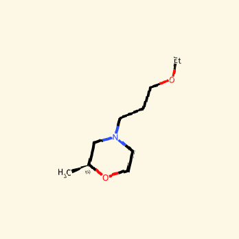 CCOCCCN1CCO[C@@H](C)C1